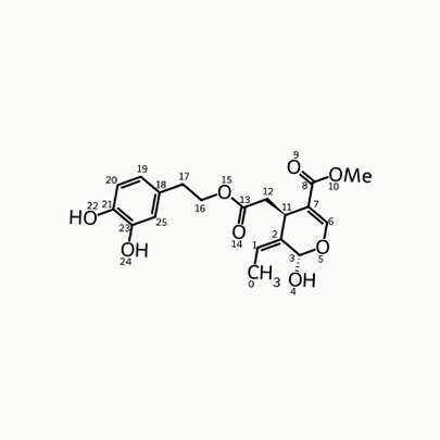 C/C=C1\[C@@H](O)OC=C(C(=O)OC)[C@@H]1CC(=O)OCCc1ccc(O)c(O)c1